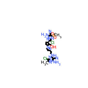 Cc1nn2c(N)c(C#N)c(NCCc3ccn(C4CC[C@@H](c5nn6c(N)c(C#N)c(S(C)(=O)=O)nc6c5Cl)C4CO)n3)nc2c1Cl